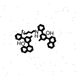 Cc1cc(-c2ccccc2NCCCCN(C)c2ccccc2-c2cc(C)cc(-c3cccc4ccccc34)c2O)c(O)c(-c2cccc3ccccc23)c1